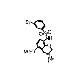 COc1ccc(NS(=O)(=O)c2cccc(Br)c2)c2c1C[C@@H](N(C)C)CO2